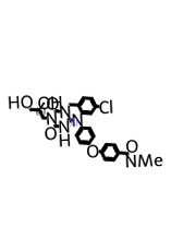 CNC(=O)c1ccc(Oc2ccc(/N=c3\[nH]c(=O)n(C[C@H](O)CO)c(=O)n3Cc3ccc(Cl)cc3)cc2)cc1